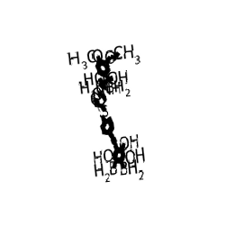 Bc1c(B)c(O)c(C#Cc2ccc(CS[C@@H](C=O)CC(=O)NC(B)(O)C(B)(O)c3ccc(OC)c(OCC)c3)cc2)c(O)c1O